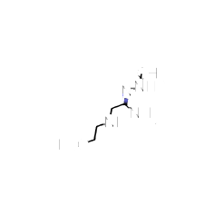 CCCNC/C(N)=N/NC